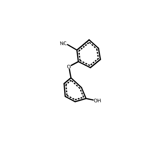 N#Cc1ccccc1Oc1cccc(O)c1